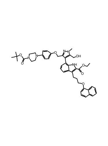 CCOC(=O)c1[nH]c2c(-c3c(COc4ccc(N5CCN(C(=O)OC(C)(C)C)CC5)cc4)nn(C)c3CO)cccc2c1CCCOc1cccc2ccccc12